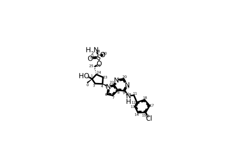 C[C@]1(O)C[C@H](n2ccc3c(NCc4ccc(Cl)cc4)ncnc32)C[C@H]1COS(N)(=O)=O